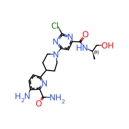 C[C@H](CO)NC(=O)c1cc(N2CCC(c3ccc(N)c(C(N)=O)n3)CC2)nc(Cl)n1